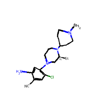 BN1CCC(N2CCN(c3cc(N)c(C#N)cc3Cl)C[C@@H]2CC)CC1